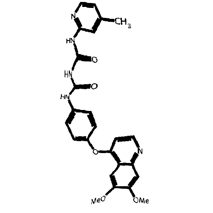 COc1cc2nccc(Oc3ccc(NC(=O)NC(=O)Nc4cc(C)ccn4)cc3)c2cc1OC